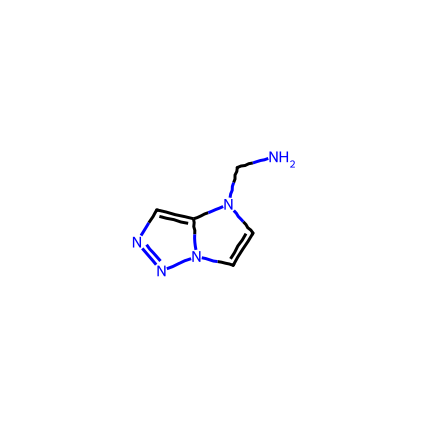 NCn1ccn2nncc12